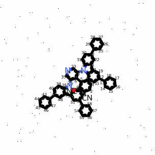 N#Cc1cccc(-c2c(-n3c4ccc(-c5ccccc5)cc4c4cc(-c5ccccc5)ccc43)cncc2-n2c3ccc(-c4ccccc4)cc3c3cc(-c4ccccc4)ccc32)c1C#N